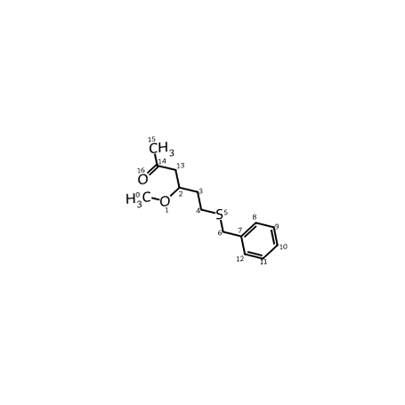 COC(CCSCc1ccccc1)CC(C)=O